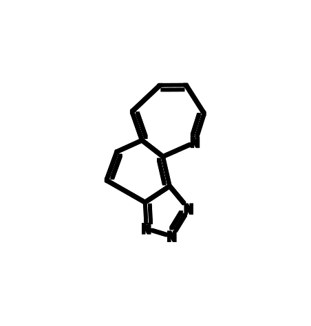 c1ccc2ccc3nnnc3c2nc1